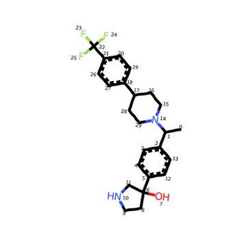 CC(c1ccc(C2(O)CCNC2)cc1)N1CCC(c2ccc(C(F)(F)F)cc2)CC1